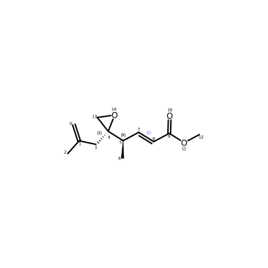 C=C(C)C[C@]1([C@H](C)/C=C/C(=O)OC)CO1